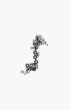 COC(=O)N[C@H](C(=O)N1CCC[C@H]1c1ncc(-c2ccc3c(c2)C(F)(F)c2cc(-c4ccc5nc([C@@H]6[C@@H]7CC[C@H](C7)N6C(=O)[C@H](NC(=O)OC)c6ccccc6)[nH]c5c4)ccc2-3)[nH]1)[C@@H](C)OC